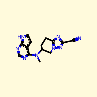 CN(c1ncnc2[nH]ccc12)C1CCc2nc(C#N)nn2C1